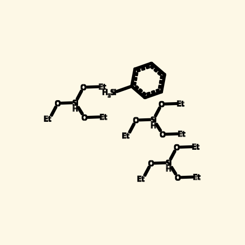 CCO[SiH](OCC)OCC.CCO[SiH](OCC)OCC.CCO[SiH](OCC)OCC.[SiH3]c1ccccc1